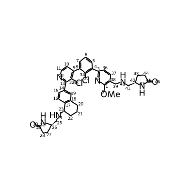 COc1nc(-c2cccc(-c3ccnc(-c4ccc5c(c4)CCC[C@H]5NC[C@H]4CCC(=O)N4)c3Cl)c2Cl)ccc1CNC[C@H]1CCC(=O)N1